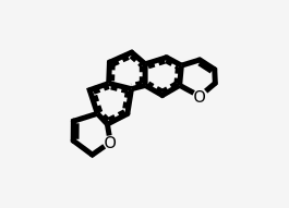 C1=Cc2cc3ccc4cc5c(cc4c3cc2OC1)OCC=C5